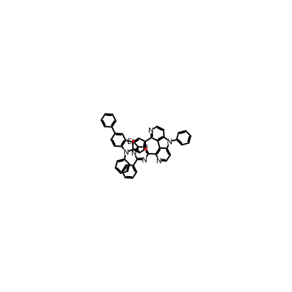 CCc1nc(-c2ccccc2)nc(-c2nccc3c2c2c(-c4ccc5c(c4)c4cc(-c6ccccc6)ccc4n5-c4ccccc4)nccc2n3-c2ccccc2)n1